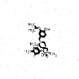 Cc1ncc(N2[C@@]3(CCN(Cc4ccc(O)c(OC(C)C)c4)[C@@H](C)C3)CN(C)S2(=O)=O)cc1F